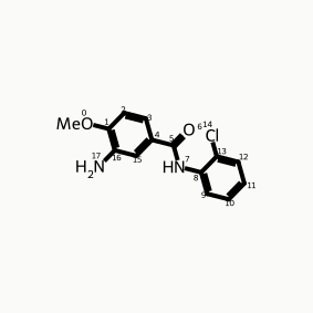 COc1ccc(C(=O)Nc2ccccc2Cl)cc1N